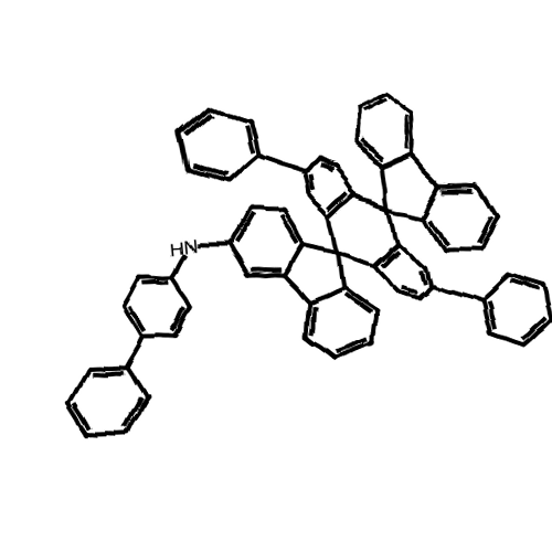 c1ccc(-c2ccc(Nc3ccc4c(c3)-c3ccccc3C43c4ccc(-c5ccccc5)cc4C4(c5ccccc5-c5ccccc54)c4ccc(-c5ccccc5)cc43)cc2)cc1